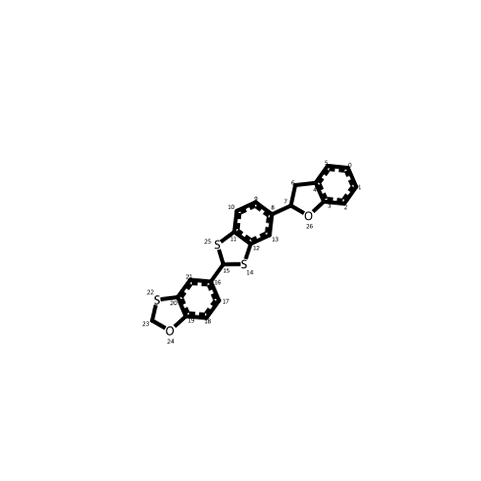 c1ccc2c(c1)CC(c1ccc3c(c1)SC(c1ccc4c(c1)SCO4)S3)O2